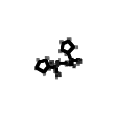 CCN([SiH2][SiH2]N(CC)C1CCCC1)C1CCCC1